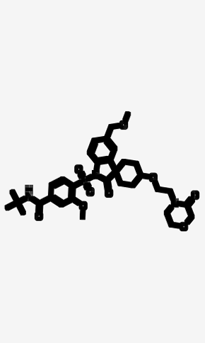 COCc1ccc2c(c1)C1(CCC(OCCN3CCOCC3=O)CC1)C(=O)N2S(=O)(=O)c1ccc(C(=O)NC(C)(C)C)cc1OC